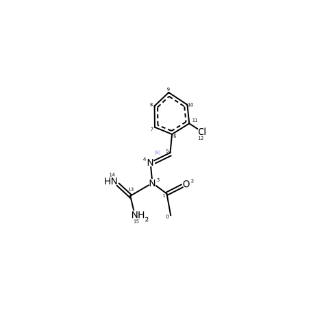 CC(=O)N(/N=C/c1ccccc1Cl)C(=N)N